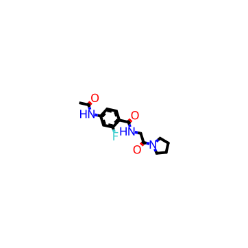 CC(=O)Nc1ccc(C(=O)NCC(=O)N2CCCC2)c(F)c1